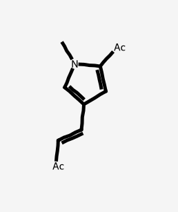 CC(=O)/C=C/c1cc(C(C)=O)n(C)c1